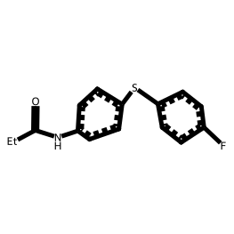 CCC(=O)Nc1ccc(Sc2ccc(F)cc2)cc1